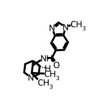 Cn1cnc2cc(C(=O)N[C@@H]3C4CCN(CC4)C3(C)C)ccc21